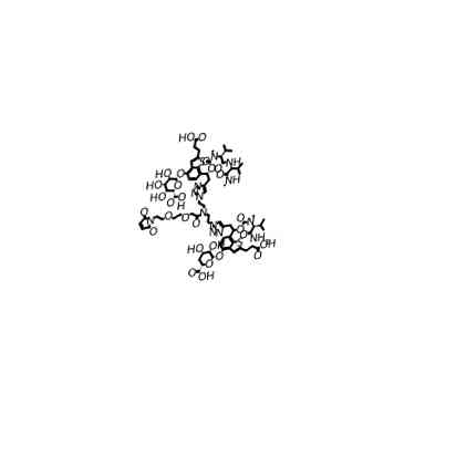 CNC(=O)[C@@H](NC(=O)[C@H](C(C)C)N(C)C(=O)OC(Cc1cn(CCN(CCn2cc(CC(OC(=O)N(C)[C@H](C(N)=O)C(C)C)c3ccc(O[C@@H]4O[C@H](C(=O)O)C[C@H](O)[C@H]4O)c4cc(CCC(=O)O)sc34)nn2)C(=O)COCCOCCN2C(=O)C=CC2=O)nn1)c1ccc(O[C@@H]2O[C@H](C(=O)O)[C@@H](O)[C@H](O)[C@H]2O)c2cc(CCC(=O)O)sc12)C(C)C